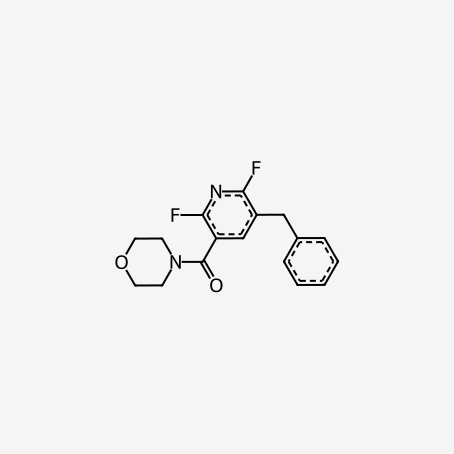 O=C(c1cc(Cc2ccccc2)c(F)nc1F)N1CCOCC1